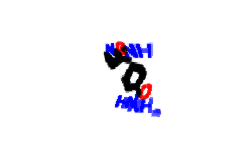 NNC(=O)[C@H]1CC[C@H](C2NOc3ncccc32)CC1